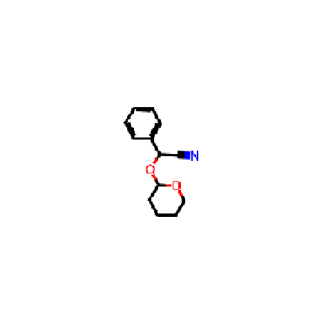 N#CC(OC1CCCCO1)c1ccccc1